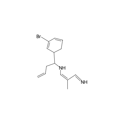 C=CCC(N/C=C(/C)C=N)C1C=C(Br)C=CC1